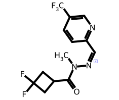 CN(/N=C\c1ccc(C(F)(F)F)cn1)C(=O)C1CC(F)(F)C1